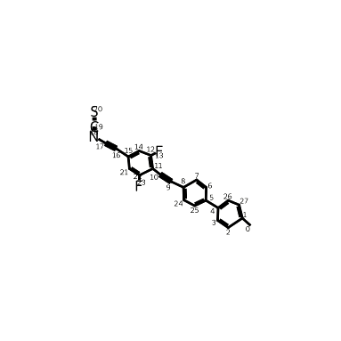 Cc1ccc(-c2ccc(C#Cc3c(F)cc(C#CN=C=S)cc3F)cc2)cc1